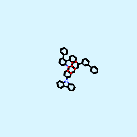 c1ccc(-c2cccc(-c3ccc(N(c4ccc(-n5c6ccccc6c6ccccc65)cc4)c4cccc(-c5ccccc5)c4-c4ccccc4-c4ccccc4)cc3)c2)cc1